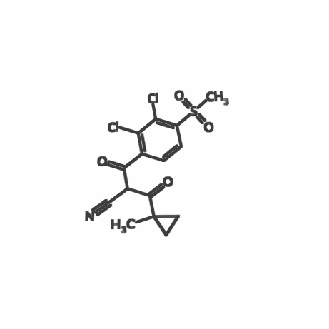 CC1(C(=O)C(C#N)C(=O)c2ccc(S(C)(=O)=O)c(Cl)c2Cl)CC1